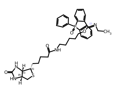 CC/N=C(\OCCCCCNC(=O)CCCC[C@@H]1SC[C@@H]2NC(=O)N[C@@H]21)c1ccccc1P(=O)(c1ccccc1)c1ccccc1